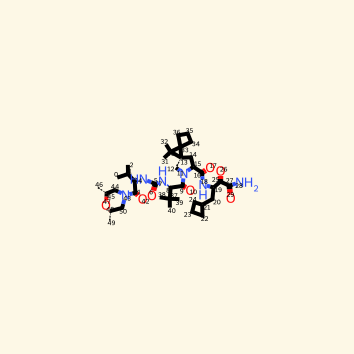 CC(C)[C@H](NC(=O)N[C@H](C(=O)N1C[C@]2(CC1C(=O)NC(CC1CCC1)C(=O)C(N)=O)C(C)(C)C21CCC1)C(C)(C)C)C(=O)N1C[C@@H](C)O[C@@H](C)C1